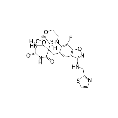 C[C@@H]1OCCN2c3c(cc4c(NCc5nccs5)noc4c3F)CC3(C(=O)NC(=O)NC3=O)[C@@H]12